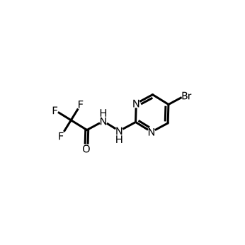 O=C(NNc1ncc(Br)cn1)C(F)(F)F